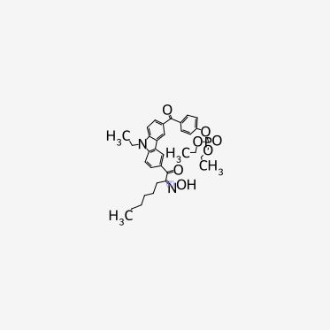 CCCCCC/C(=N/O)C(=O)c1ccc2c(c1)c1cc(C(=O)c3ccc(OP(=O)(OCC)OCC)cc3)ccc1n2CC